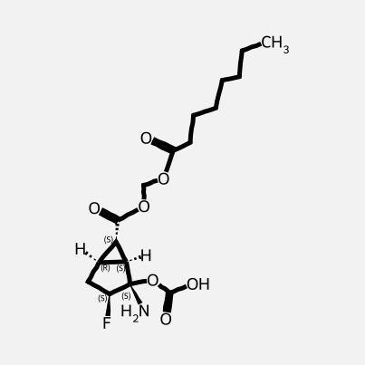 CCCCCCCC(=O)OCOC(=O)[C@H]1[C@@H]2C[C@H](F)[C@@](N)(OC(=O)O)[C@@H]21